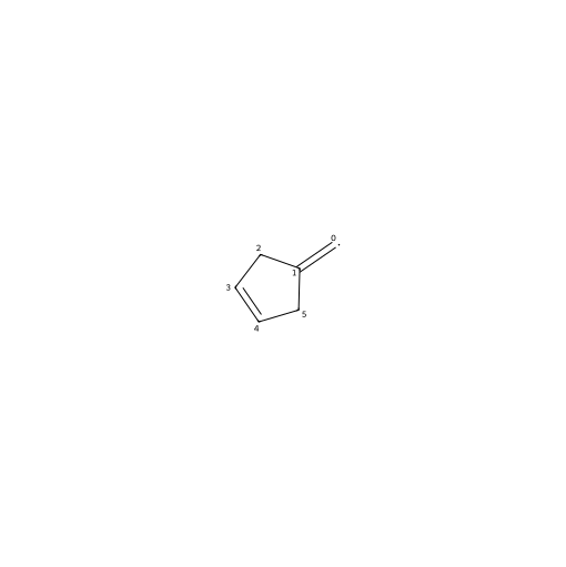 [CH]=C1CC=CC1